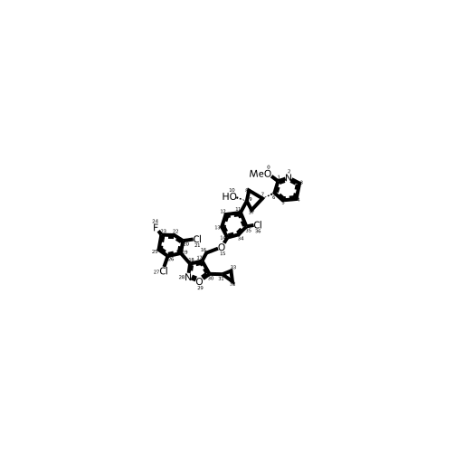 COc1ncccc1[C@H]1C[C@](O)(c2ccc(OCc3c(-c4c(Cl)cc(F)cc4Cl)noc3C3CC3)cc2Cl)C1